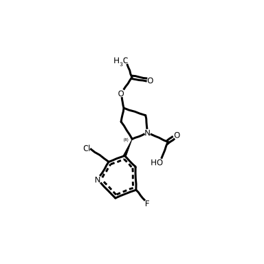 CC(=O)OC1C[C@H](c2cc(F)cnc2Cl)N(C(=O)O)C1